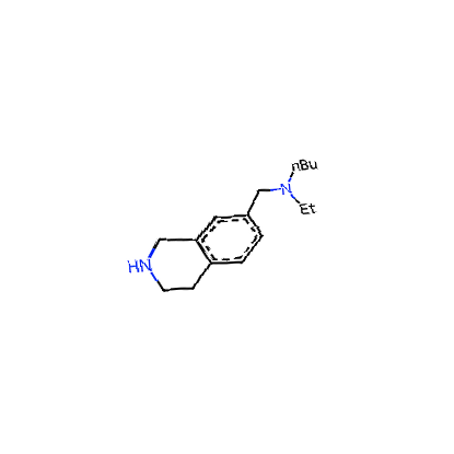 CCCCN(CC)Cc1ccc2c(c1)CNCC2